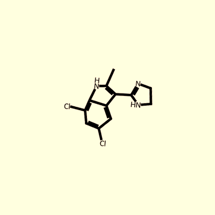 Cc1[nH]c2c(Cl)cc(Cl)cc2c1C1=NCCN1